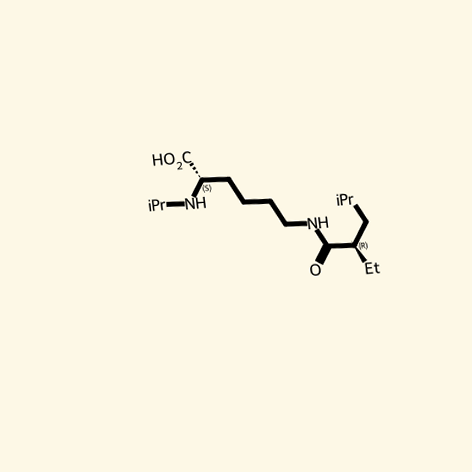 CC[C@H](CC(C)C)C(=O)NCCCC[C@H](NC(C)C)C(=O)O